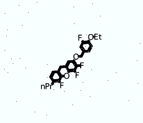 CCCc1ccc2c(c1F)Oc1c(cc(OCc3ccc(OCC)c(F)c3)c(F)c1F)C2